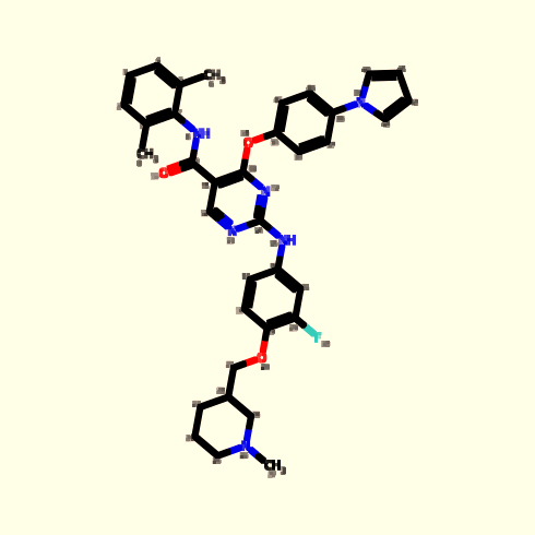 Cc1cccc(C)c1NC(=O)c1cnc(Nc2ccc(OCC3CCCN(C)C3)c(F)c2)nc1Oc1ccc(-n2cccc2)cc1